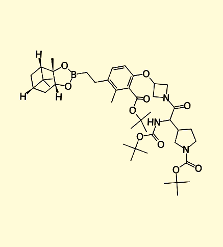 Cc1c(CCB2O[C@@H]3C[C@@H]4C[C@@H](C4(C)C)[C@]3(C)O2)ccc(OC2CN(C(=O)C(NC(=O)OC(C)(C)C)C3CCN(C(=O)OC(C)(C)C)C3)C2)c1C(=O)OC(C)(C)C